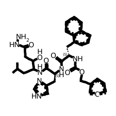 CC(C)CC(NC(=O)[C@H](Cc1c[nH]cn1)NC(=O)[C@H](Cc1cccc2ccccc12)NC(=O)OCc1ccccc1)C(O)CC(=O)NN